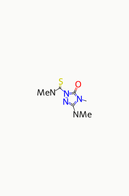 CNC(=S)n1nc(NC)n(C)c1=O